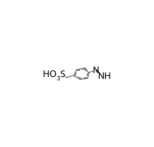 N=Nc1ccc(CS(=O)(=O)O)cc1